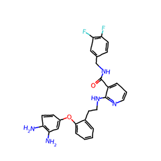 Nc1ccc(Oc2ccccc2CCNc2ncccc2C(=O)NCc2ccc(F)c(F)c2)cc1N